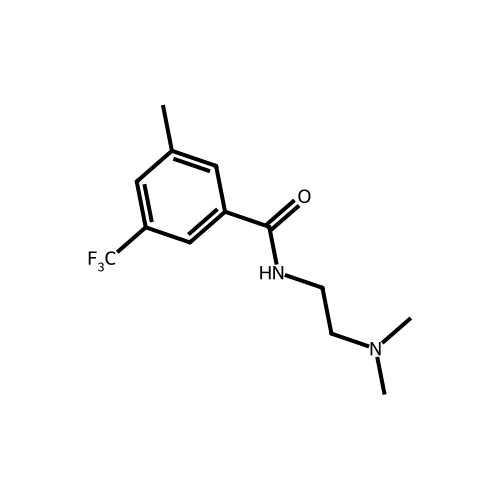 Cc1cc(C(=O)NCCN(C)C)cc(C(F)(F)F)c1